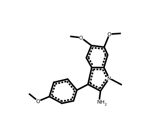 COc1ccc(-c2c(N)n(C)c3cc(OC)c(OC)cc23)cc1